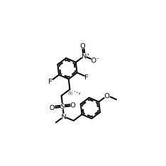 COc1ccc(CN(C)S(=O)(=O)C[C@@H](C)c2c(F)ccc([N+](=O)[O-])c2F)cc1